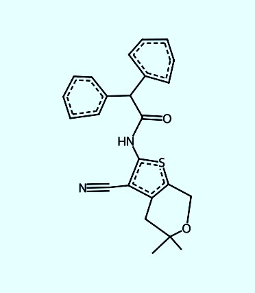 CC1(C)Cc2c(sc(NC(=O)C(c3ccccc3)c3ccccc3)c2C#N)CO1